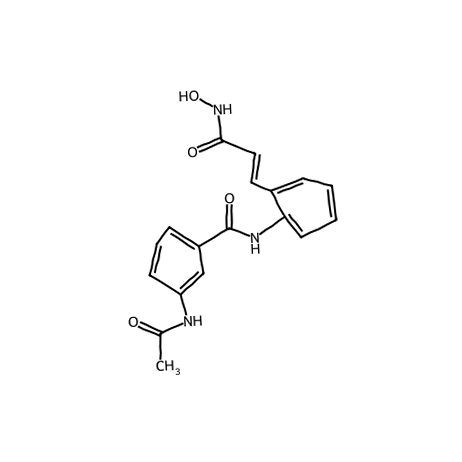 CC(=O)Nc1cccc(C(=O)Nc2ccccc2C=CC(=O)NO)c1